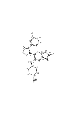 Cc1cc(C2OC=CN2c2cc3cn(C)nc3cc2N[C@H]2CC[C@H](O)CC2)ccn1